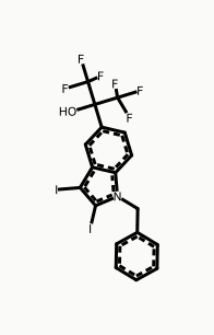 OC(c1ccc2c(c1)c(I)c(I)n2Cc1ccccc1)(C(F)(F)F)C(F)(F)F